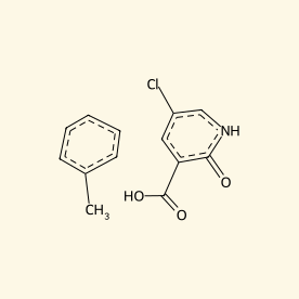 Cc1ccccc1.O=C(O)c1cc(Cl)c[nH]c1=O